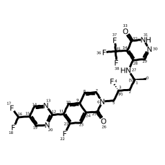 C[C@@H](C[C@@H](F)Cn1ccc2cc(-c3ncc(C(F)F)cn3)c(F)cc2c1=O)Nc1cn[nH]c(=O)c1C(F)(F)F